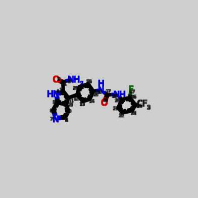 NC(=O)c1[nH]c2cnccc2c1-c1ccc(NC(=O)Nc2cccc(C(F)(F)F)c2F)cc1